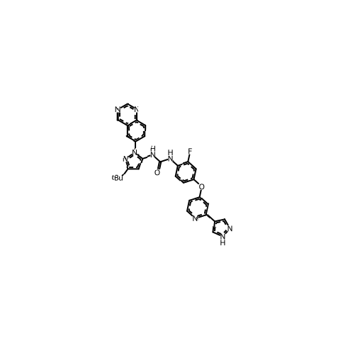 CC(C)(C)c1cc(NC(=O)Nc2ccc(Oc3ccnc(-c4cn[nH]c4)c3)cc2F)n(-c2ccc3ncncc3c2)n1